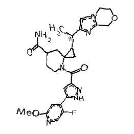 COc1cc(-c2cc(C(=O)N3CCC(C(N)=O)CC34CC4[C@@H](C)c3cn4c(n3)COCC4)n[nH]2)c(F)cn1